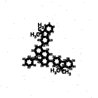 CC1(C)c2ccccc2-c2ccc(-c3ccc4c5c3ccc3c(-c6ccc7c(c6)C(C)(C)c6ccccc6-7)ccc(c35)n4-c3ccccc3)cc21